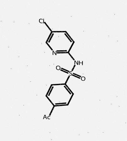 CC(=O)c1ccc(S(=O)(=O)Nc2ccc(Cl)cn2)cc1